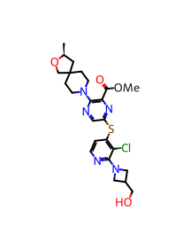 COC(=O)c1nc(Sc2ccnc(N3CC(CO)C3)c2Cl)cnc1N1CCC2(CC1)CO[C@@H](C)C2